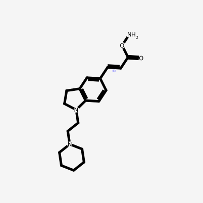 NOC(=O)/C=C/c1ccc2c(c1)CCN2CCN1CCCCC1